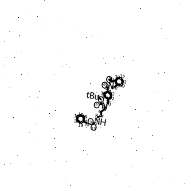 CC(C)(C)OC(=O)N(CCCCNC(=O)OCc1ccccc1)Cc1ccc(C(=O)N2Cc3ccccc3C2=O)cc1